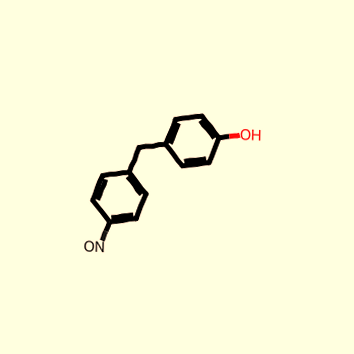 O=Nc1ccc(Cc2ccc(O)cc2)cc1